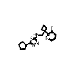 Fc1cccnc1C1(CNc2nnc(C3CCCC3)s2)CCC1